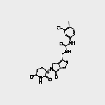 Cc1ccc(NC(=O)NCc2scc3c2CN([C@H]2CCC(=O)NC2=O)C3=O)cc1Cl